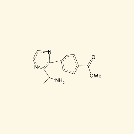 COC(=O)c1ccc(-c2nccnc2C(C)N)cc1